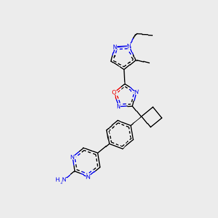 CCn1ncc(-c2nc(C3(c4ccc(-c5cnc(N)nc5)cc4)CCC3)no2)c1C